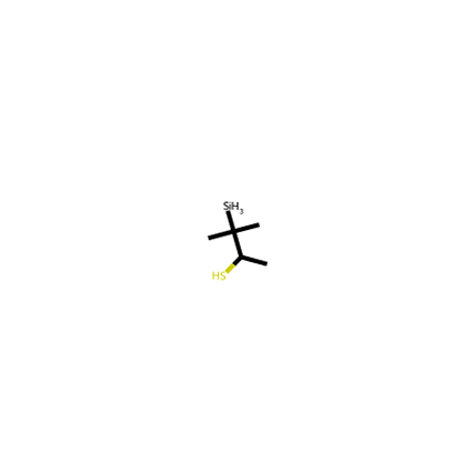 CC(S)C(C)(C)[SiH3]